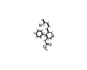 C=C(Br)/C=C\C=C1/CN=CC(CC(=O)OC)=C1c1ccccc1